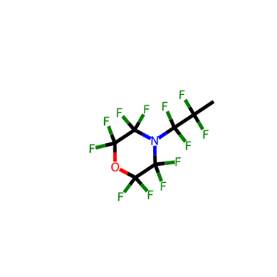 CC(F)(F)C(F)(F)N1C(F)(F)C(F)(F)OC(F)(F)C1(F)F